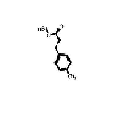 CCCCOC(=O)CCc1ccc(C)cc1